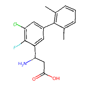 Cc1cccc(C)c1-c1cc(Cl)c(F)c(C(N)CC(=O)O)c1